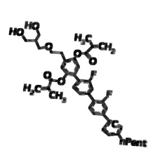 C=C(C)C(=O)Oc1cc(-c2ccc(-c3ccc(-c4ccc(CCCCC)cc4)cc3F)cc2F)c(OC(=O)C(=C)C)cc1CCOCC(CO)CO